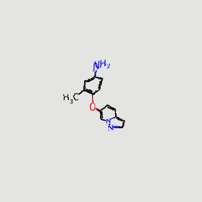 Cc1cc(N)ccc1Oc1ccc2ccnn2c1